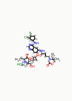 CC1(C)COC(=O)CN1CC=CC(=O)Nc1cc2c(Nc3ccc(F)c(Cl)c3)ncnc2cc1OC1CCC1.CCC(NC(C)(C)CO)C(=O)O.Cl